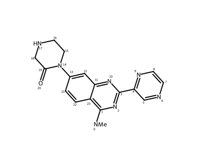 CNc1nc(-c2cnccn2)nc2cc(N3CCNCC3=O)ccc12